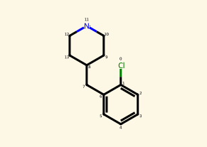 Clc1ccccc1CC1CC[N]CC1